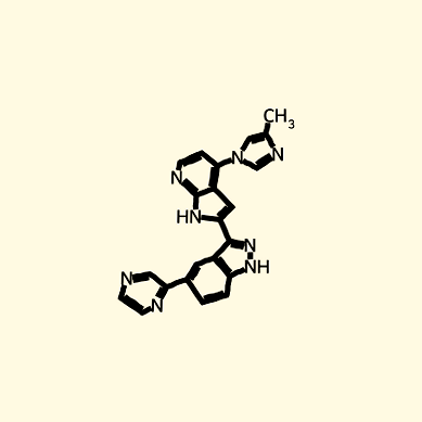 Cc1cn(-c2ccnc3[nH]c(-c4n[nH]c5ccc(-c6cnccn6)cc45)cc23)cn1